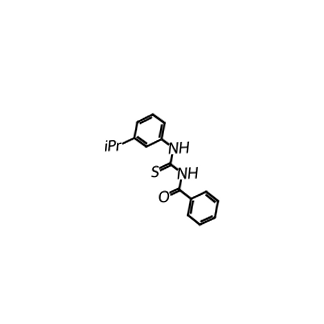 CC(C)c1cccc(NC(=S)NC(=O)c2ccccc2)c1